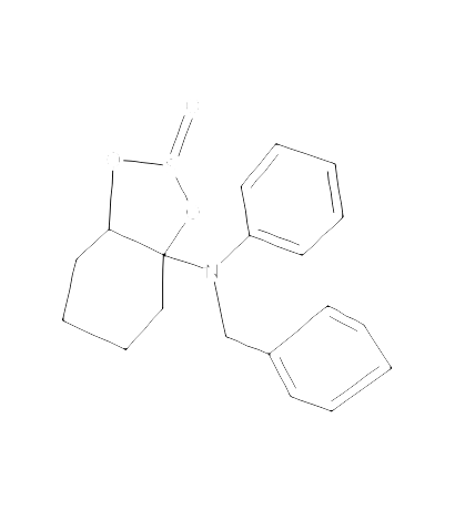 O=S1OC2CCCCC2(N(Cc2ccccc2)c2ccccc2)O1